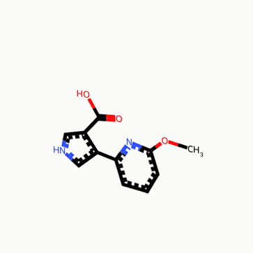 COc1cccc(-c2c[nH]cc2C(=O)O)n1